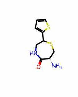 N[C@H]1CSC(c2cccs2)CNC1=O